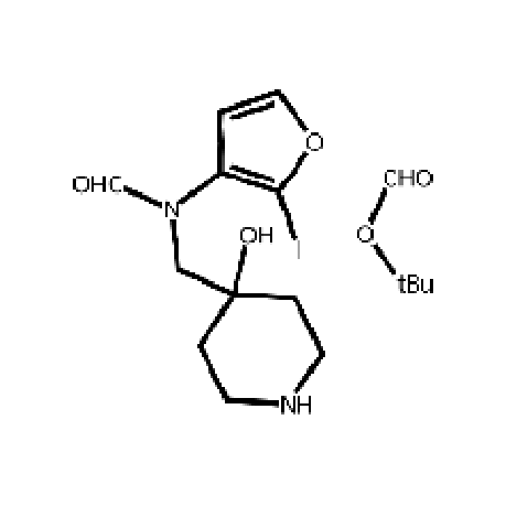 CC(C)(C)OC=O.O=CN(CC1(O)CCNCC1)c1ccoc1I